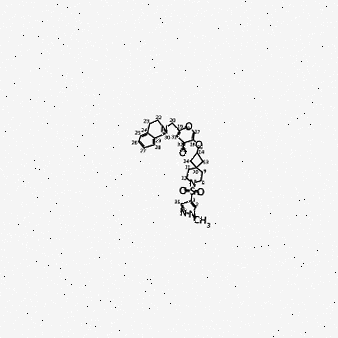 Cn1cc(S(=O)(=O)N2CCC3(CC2)CC(Oc2coc(CN4CCc5ccccc5C4)cc2=O)C3)cn1